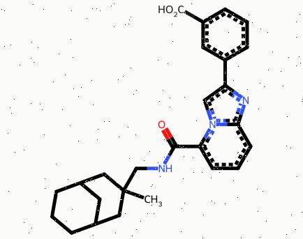 CC1(CNC(=O)c2cccc3nc(-c4cccc(C(=O)O)c4)cn23)CC2CCCC(C2)C1